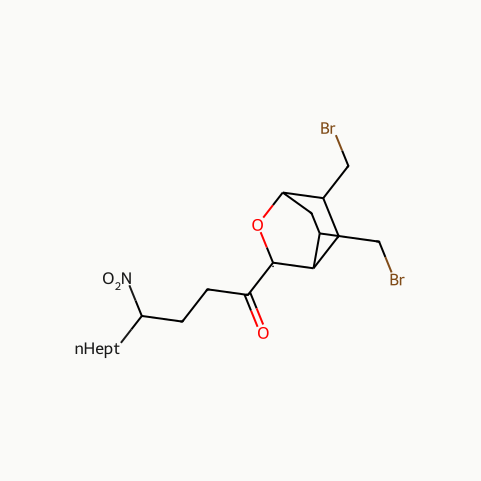 [CH2]CCCCCCC(CCC(=O)[C]1OC2CC(CBr)C1CC2CBr)[N+](=O)[O-]